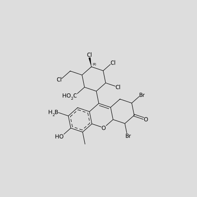 Bc1cc2c(c(C)c1O)OC1C(=C2C2C(Cl)C(Cl)[C@H](Cl)C(CCl)C2C(=O)O)CC(Br)C(=O)C1Br